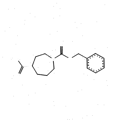 COC(=O)[C@H]1CCCN(C(=O)OCc2ccccc2)CC1